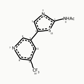 CC(=O)Nc1ncc(-c2cncc(C(F)(F)F)c2)s1